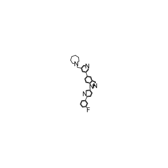 Fc1cccc(-c2ccc(-n3ncc4cc(-c5cncc(CN6CCCCCC6)c5)ccc43)cn2)c1